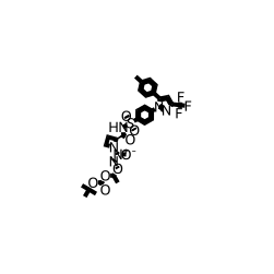 Cc1ccc(-c2cc(C(F)(F)F)nn2-c2ccc(S(=O)(=O)NC(=O)[C@@H]3CCN3[N+]([O-])=NOC(C)OC(=O)OC(C)(C)C)cc2)cc1